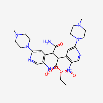 CCOC(=O)C(c1cc(N2CCN(C)CC2)ncc1[N+](=O)[O-])C(C(N)=O)c1cc(N2CCN(C)CC2)ncc1[N+](=O)[O-]